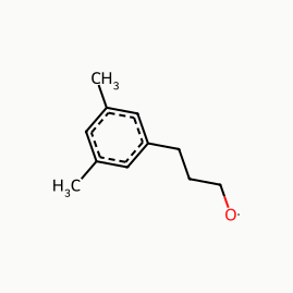 Cc1cc(C)cc(CCC[O])c1